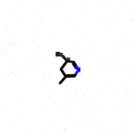 CCC(C)[C@H]1C=NC=C(C)C1